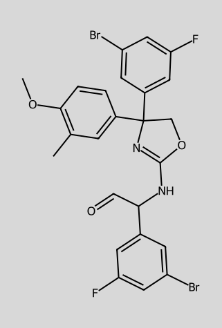 COc1ccc(C2(c3cc(F)cc(Br)c3)COC(NC(C=O)c3cc(F)cc(Br)c3)=N2)cc1C